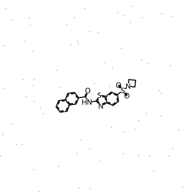 O=C(Nc1nc2ccc(S(=O)(=O)N3CCC3)cc2s1)c1ccc2ccccc2c1